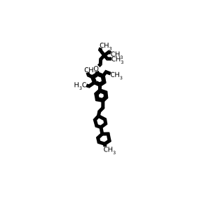 CCc1cc(-c2ccc(CCC3CCC(C4CCC(C)CC4)CC3)cc2)c(CC)c(CC)c1OCCC(CC)(CC)CC